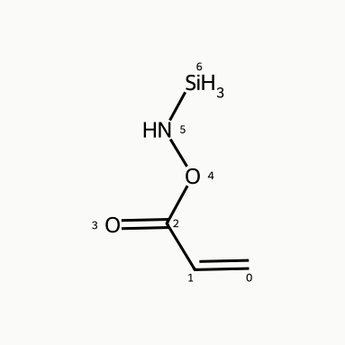 C=CC(=O)ON[SiH3]